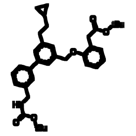 CC(C)(C)OC(=O)Cc1ccccc1OCc1cc(CCC2CC2)cc(-c2cccc(CNC(=O)OC(C)(C)C)c2)c1